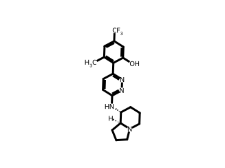 Cc1cc(C(F)(F)F)cc(O)c1-c1ccc(N[C@@H]2CCCN3CCC[C@@H]23)nn1